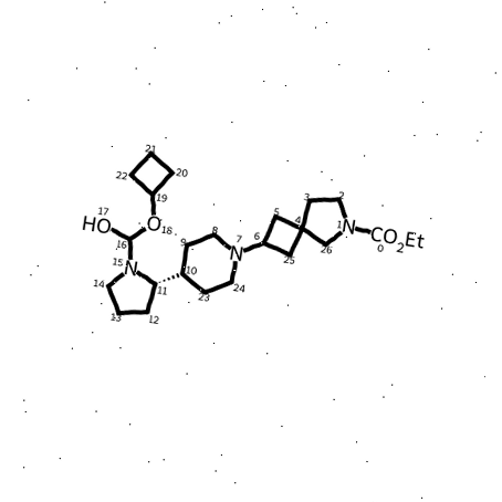 CCOC(=O)N1CCC2(CC(N3CCC([C@@H]4CCCN4C(O)OC4CCC4)CC3)C2)C1